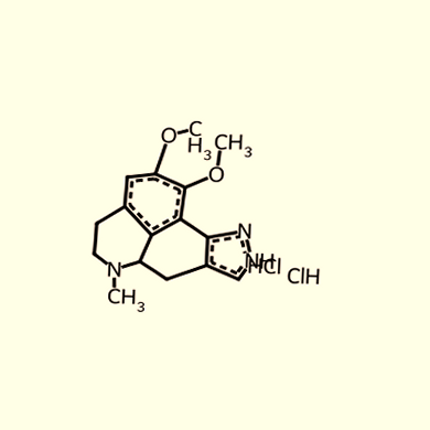 COc1cc2c3c(c1OC)-c1n[nH]cc1CC3N(C)CC2.Cl.Cl